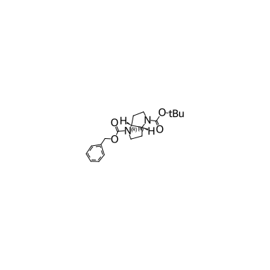 CC(C)(C)OC(=O)N1CC[C@@H]2[C@H]1CCN2C(=O)OCc1ccccc1